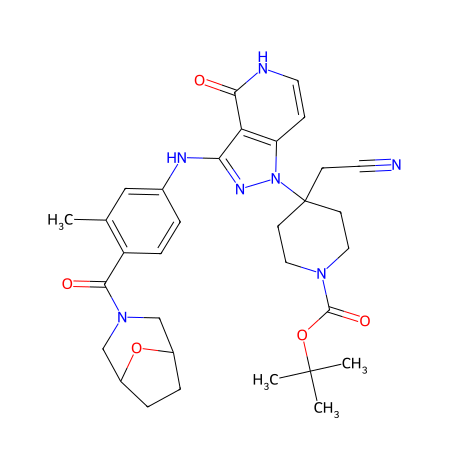 Cc1cc(Nc2nn(C3(CC#N)CCN(C(=O)OC(C)(C)C)CC3)c3cc[nH]c(=O)c23)ccc1C(=O)N1CC2CCC(C1)O2